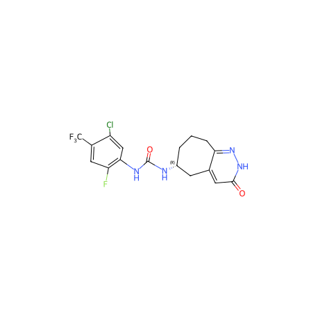 O=C(Nc1cc(Cl)c(C(F)(F)F)cc1F)N[C@@H]1CCCc2n[nH]c(=O)cc2C1